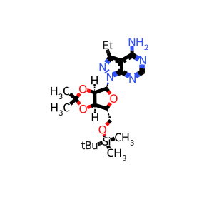 CCc1nn([C@@H]2O[C@H](CO[Si](C)(C)C(C)(C)C)[C@H]3OC(C)(C)O[C@H]32)c2ncnc(N)c12